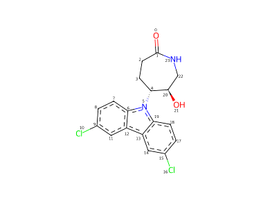 O=C1CC[C@@H](n2c3ccc(Cl)cc3c3cc(Cl)ccc32)[C@H](O)CN1